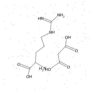 N=C(N)NCCCC(N)C(=O)O.O=C(O)CC(=O)O